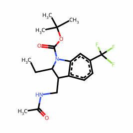 CCC1C(CNC(C)=O)c2ccc(C(F)(F)F)cc2N1C(=O)OC(C)(C)C